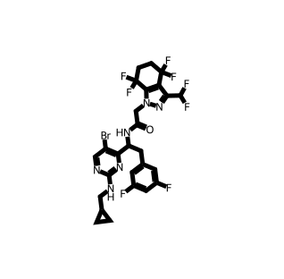 O=C(Cn1nc(C(F)F)c2c1C(F)(F)CCC2(F)F)NC(Cc1cc(F)cc(F)c1)c1nc(NCC2CC2)ncc1Br